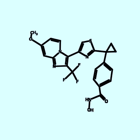 COc1ccn2c(-c3csc(C4(c5ccc(C(=O)NO)cc5)CC4)n3)c(C(F)(F)F)nc2c1